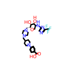 O=C(O)c1ccc(N2CCC(CN3CCN(C[C@H]4OCC(Nc5cncc(C(F)(F)F)n5)[C@@H](O)[C@H]4O)CC3)CC2)cc1